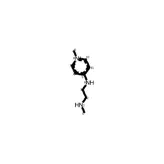 CNCCNc1cc[n+](C)cc1